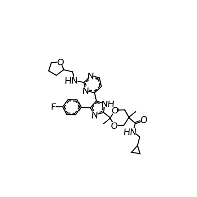 CC1(C(=O)NCC2CC2)COC(C)(c2nc(-c3ccc(F)cc3)c(-c3ccnc(NCC4CCCO4)n3)[nH]2)OC1